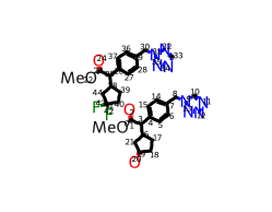 COC(=O)C(c1ccc(Cn2cnnn2)cc1)C1CCC(=O)C1.COC(=O)C(c1ccc(Cn2ncnn2)cc1)C1CCC(F)(F)C1